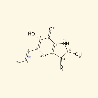 C/C=C/c1oc2c(c(=O)c1O)NC(O)C2=O